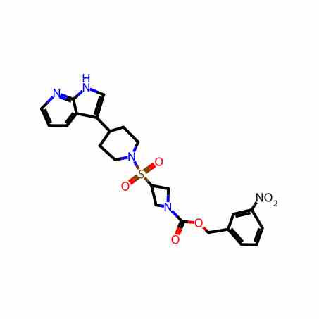 O=C(OCc1cccc([N+](=O)[O-])c1)N1CC(S(=O)(=O)N2CCC(c3c[nH]c4ncccc34)CC2)C1